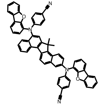 CC1(C)c2cc(N(c3ccc(C#N)cc3)c3cccc4c3oc3ccccc34)c3ccccc3c2-c2ccc3cc(N(c4ccc(C#N)cc4)c4cccc5c4oc4ccccc45)ccc3c21